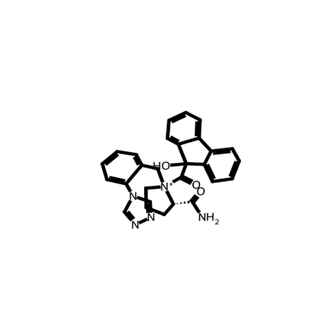 NC(=O)[C@@H]1CCC[N+]1(Cc1ccccc1-n1cnnc1)C(=O)C1(O)c2ccccc2-c2ccccc21